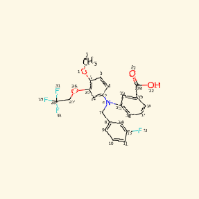 COc1ccc(N(Cc2cccc(F)c2)c2cccc(C(=O)O)c2)cc1OCC(F)(F)F